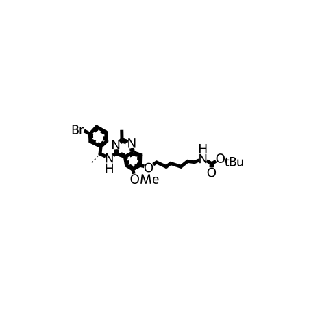 COc1cc2c(N[C@H](C)c3cccc(Br)c3)nc(C)nc2cc1OCCCCCCNC(=O)OC(C)(C)C